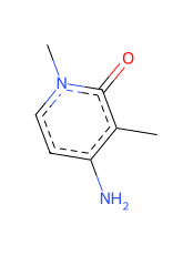 Cc1c(N)ccn(C)c1=O